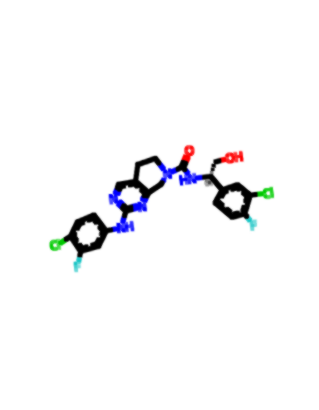 O=C(N[C@H](CO)c1ccc(F)c(Cl)c1)N1CCc2cnc(Nc3ccc(Cl)c(F)c3)nc2C1